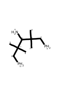 CC(C)(CP)C(N)C(C)(C)CP